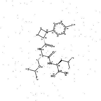 CC(C)C[C@H](NC(=O)[C@H](COC(F)F)NC(=O)[C@@H]1CCN1c1ccc(F)cc1)B(O)O